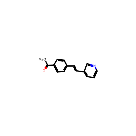 COC(=O)c1ccc(C=Cc2cccnc2)cc1